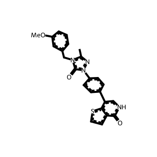 COc1cccc(Cn2c(C)nn(-c3ccc(-c4c[nH]c(=O)c5ccsc45)cc3)c2=O)c1